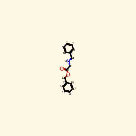 O=C(CN=Cc1ccccc1)OCc1ccccc1